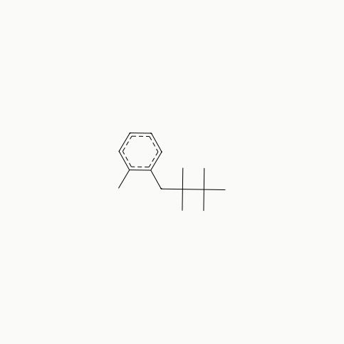 Cc1ccccc1CC(C)(C)C(C)(C)C